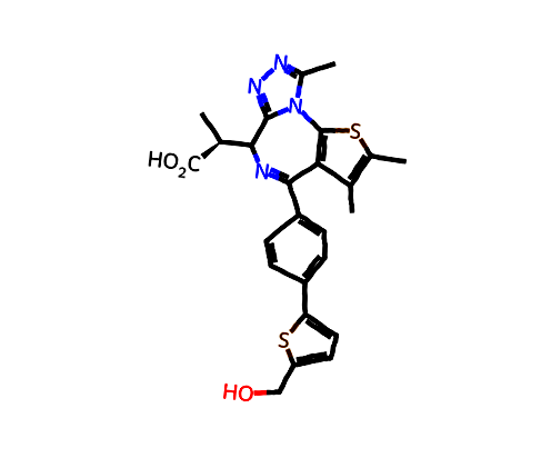 Cc1sc2c(c1C)C(c1ccc(-c3ccc(CO)s3)cc1)=NC([C@H](C)C(=O)O)c1nnc(C)n1-2